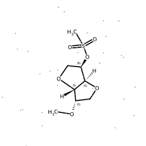 CO[C@H]1CO[C@H]2[C@H]1OC[C@H]2OS(C)(=O)=O